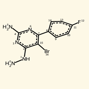 NNc1nc(N)nc(-c2ccc(F)cc2)c1Br